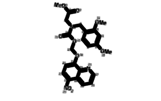 COC(=O)CN(Cc1ccc(OC)cc1OC)C(=O)OCOc1ccc([N+](=O)[O-])c2cccnc12